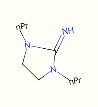 CCCN1CCN(CCC)C1=N